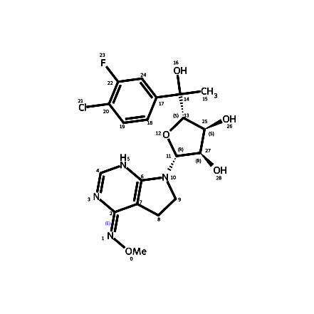 CO/N=c1/nc[nH]c2c1CCN2[C@@H]1O[C@H](C(C)(O)c2ccc(Cl)c(F)c2)[C@@H](O)[C@H]1O